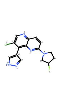 FC1CCN(c2ccc3ncc(Cl)c(-c4cn[nH]c4)c3n2)C1